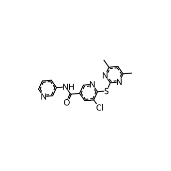 Cc1cc(C)nc(Sc2ncc(C(=O)Nc3cccnc3)cc2Cl)n1